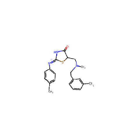 Cc1ccc(/N=C2/NC(=O)C(CN(C)Cc3cccc(C(F)(F)F)c3)S2)cc1